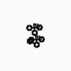 PC(c1ccccc1)(c1ccccc1)c1ccccc1.PC(c1ccccc1)(c1ccccc1)c1ccccc1-c1ccccc1